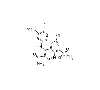 COc1cc(Nc2c(C(N)=O)cnc3c(S(C)(=O)=O)cc(Cl)cc23)ccc1F